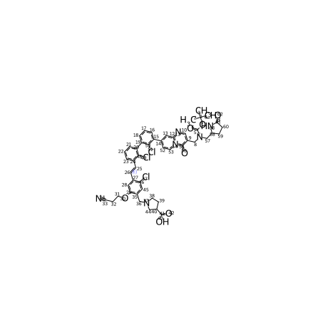 CC(C)(C)OC(=O)N(Cc1cnc2cc(-c3cccc(-c4cccc(/C=C/c5cc(OCCC#N)c(CN6CCC(C(=O)O)C6)cc5Cl)c4Cl)c3Cl)ccn2c1=O)CC1CCC(=O)N1